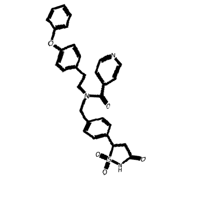 O=C1CC(c2ccc(CN(CCc3ccc(Oc4ccccc4)cc3)C(=O)c3ccncc3)cc2)S(=O)(=O)N1